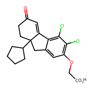 O=C(O)COc1cc2c(c(Cl)c1Cl)C1=CC(=O)CCC1(C1CCCC1)C2